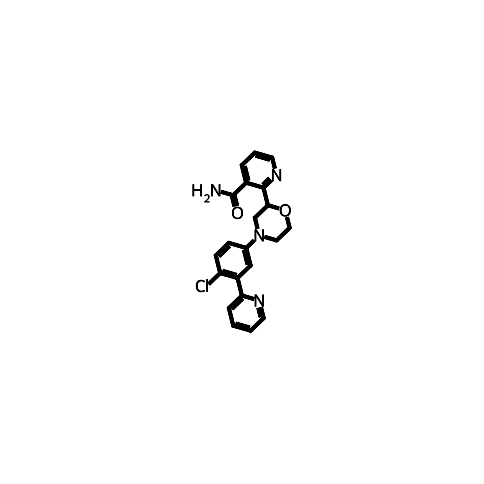 NC(=O)c1cccnc1C1CN(c2ccc(Cl)c(-c3ccccn3)c2)CCO1